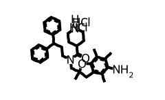 Cc1c(C)c2c(c(C)c1N)CC(C)(CN(CCC(c1ccccc1)c1ccccc1)C(=O)C1CCNCC1)O2.Cl.Cl